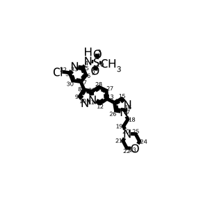 CS(=O)(=O)Nc1cc(-c2cnn3cc(-c4cnn(CCN5CCOCC5)c4)ccc23)cc(Cl)n1